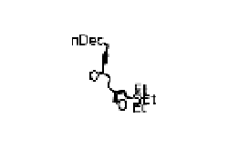 CCCCCCCCCCCC#CC(=O)CCc1coc([Si](CC)(CC)CC)c1